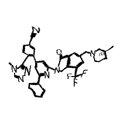 C[C@H]1CCCN(Cc2cc3c(c(C(F)(F)F)c2)CN(c2cc(-c4cc(C#N)ccc4-c4nncn4C)cc(-c4ccccc4)n2)C3=O)C1